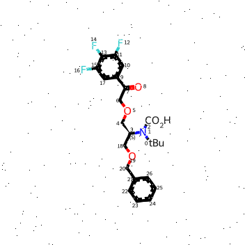 CC(C)(C)N(C(=O)O)[C@H](COCC(=O)c1cc(F)c(F)c(F)c1)COCc1ccccc1